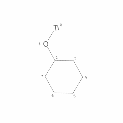 [Ti][O]C1CCCCC1